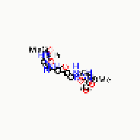 CC[C@H]1CC[C@@H](c2nc3ccc4cc5c(cc4c3[nH]2)OCc2cc(-c3cnc([C@@H]4CC[C@H](C)N4C(=O)[C@@H](NC(=O)OC)C(C)C)[nH]3)ccc2-5)N1C(=O)[C@@H](NC(=O)OC)C1C[C@@H](C)O[C@H](C)C1